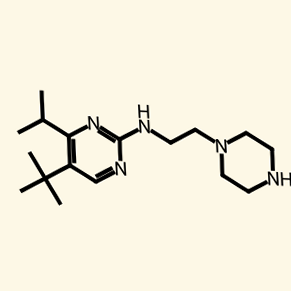 CC(C)c1nc(NCCN2CCNCC2)ncc1C(C)(C)C